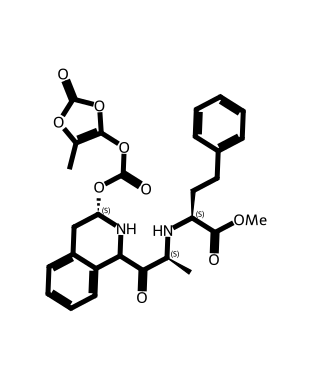 COC(=O)[C@H](CCc1ccccc1)N[C@@H](C)C(=O)C1N[C@@H](OC(=O)Oc2oc(=O)oc2C)Cc2ccccc21